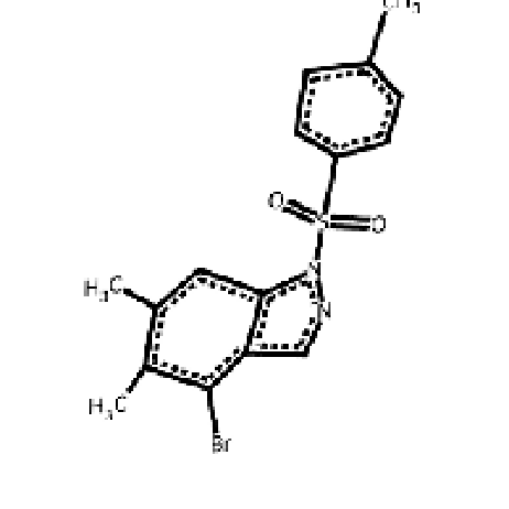 Cc1ccc(S(=O)(=O)n2ncc3c(Br)c(C)c(C)cc32)cc1